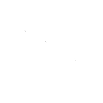 O=C1Nc2ccccc2C1=CNc1ccc(N2CCCCCCC2)cc1